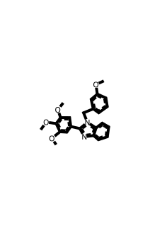 COc1cccc(Cn2c(-c3cc(OC)c(OC)c(OC)c3)nc3ccccc32)c1